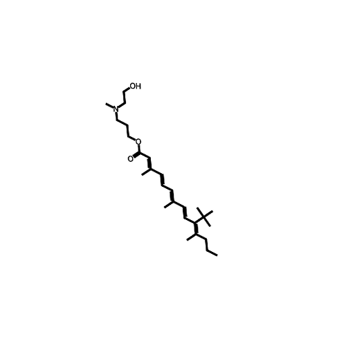 CCC/C(C)=C(/C=C/C(C)=C/C=C/C(C)=C/C(=O)OCCCN(C)CCO)C(C)(C)C